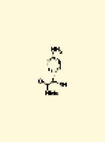 CNC(=O)N(S)c1ccc(N)cc1